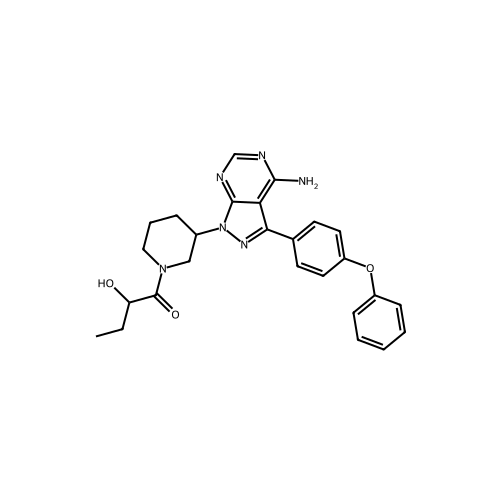 CCC(O)C(=O)N1CCCC(n2nc(-c3ccc(Oc4ccccc4)cc3)c3c(N)ncnc32)C1